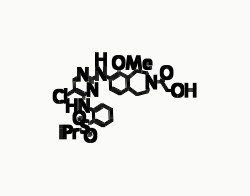 COc1c(Nc2ncc(Cl)c(Nc3ccccc3S(=O)(=O)C(C)C)n2)ccc2c1CCN(C(=O)CO)CC2